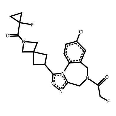 O=C(CF)N1Cc2cc(Cl)ccc2-n2c(nnc2C2CC3(C2)CN(C(=O)C2(F)CC2)C3)C1